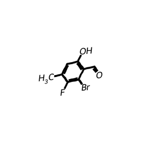 Cc1cc(O)c(C=O)c(Br)c1F